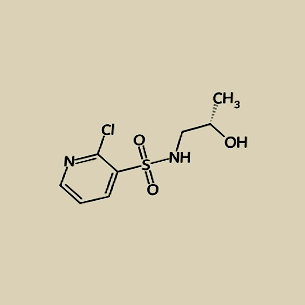 C[C@H](O)CNS(=O)(=O)c1cccnc1Cl